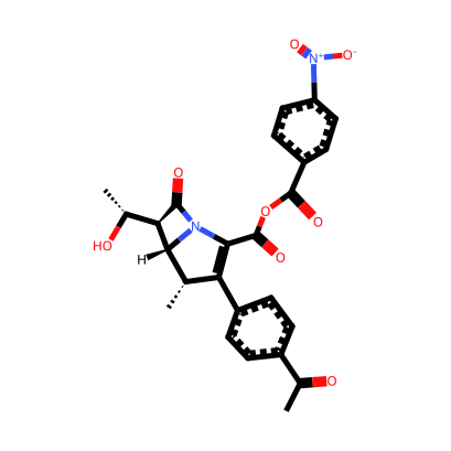 CC(=O)c1ccc(C2=C(C(=O)OC(=O)c3ccc([N+](=O)[O-])cc3)N3C(=O)[C@H]([C@@H](C)O)[C@H]3[C@H]2C)cc1